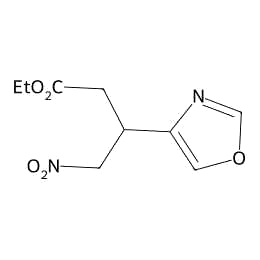 CCOC(=O)CC(C[N+](=O)[O-])c1cocn1